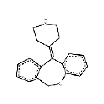 c1ccc2c(c1)COc1ccccc1C2=C1CCNCC1